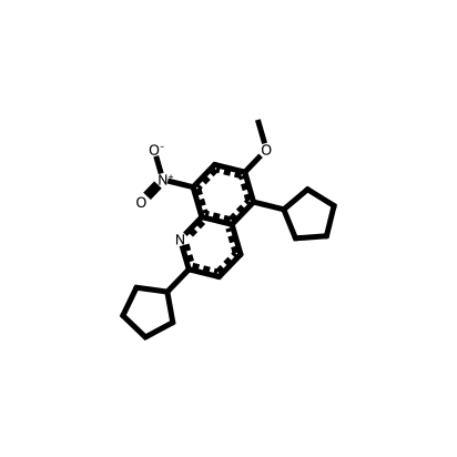 COc1cc([N+](=O)[O-])c2nc(C3CCCC3)ccc2c1C1CCCC1